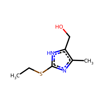 CCSc1nc(C)c(CO)[nH]1